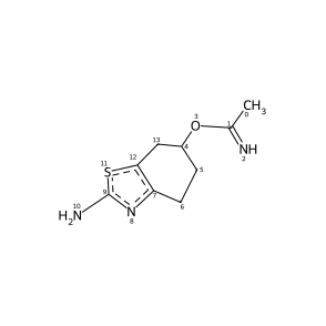 CC(=N)OC1CCc2nc(N)sc2C1